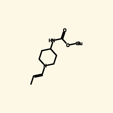 CC=CN1CCC(NC(=O)OC(C)(C)C)CC1